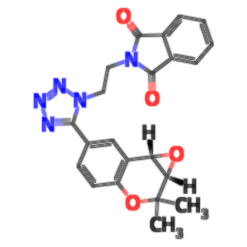 CC1(C)Oc2ccc(-c3nnnn3CCN3C(=O)c4ccccc4C3=O)cc2[C@@H]2O[C@@H]21